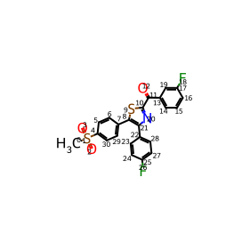 CS(=O)(=O)c1ccc(-c2sc(C(=O)c3cccc(F)c3)nc2-c2ccc(F)cc2)cc1